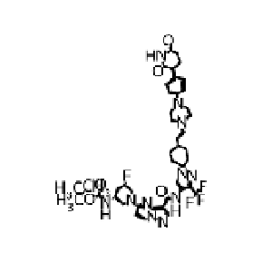 CC(C)(C)OC(=O)N[C@@H]1C[C@@H](F)CN(c2ccn3ncc(C(=O)Nc4cn(C5CCC(CCN6CCN(c7ccc(C8CCC(=O)NC8=O)cc7)CC6)CC5)nc4C(F)(F)F)c3n2)C1